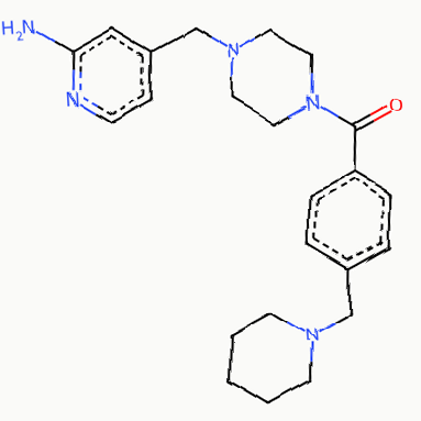 Nc1cc(CN2CCN(C(=O)c3ccc(CN4CCCCC4)cc3)CC2)ccn1